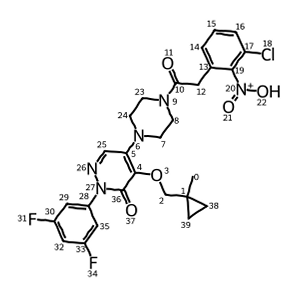 CC1(COc2c(N3CCN(C(=O)Cc4cccc(Cl)c4[N+](=O)O)CC3)cnn(-c3cc(F)cc(F)c3)c2=O)CC1